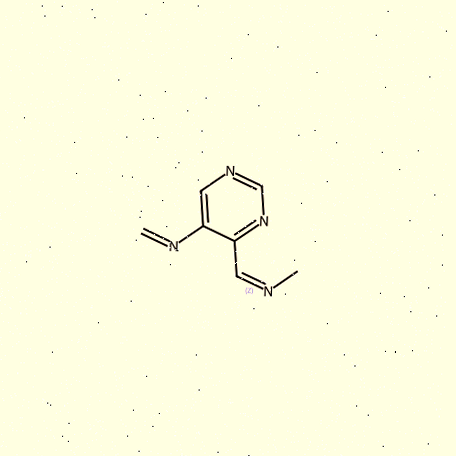 C=Nc1cncnc1/C=N\C